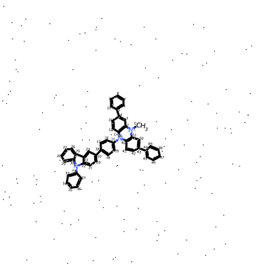 CN1c2cc(-c3ccccc3)ccc2N(c2ccc(-c3ccc4c(c3)c3ccccc3n4-c3ccccc3)cc2)c2ccc(-c3ccccc3)cc21